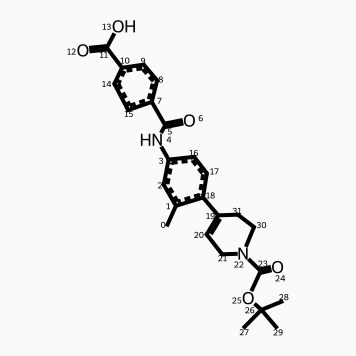 Cc1cc(NC(=O)c2ccc(C(=O)O)cc2)ccc1C1=CCN(C(=O)OC(C)(C)C)CC1